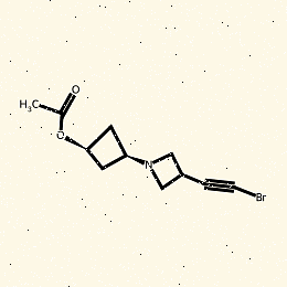 CC(=O)O[C@H]1C[C@@H](N2CC(C#CBr)C2)C1